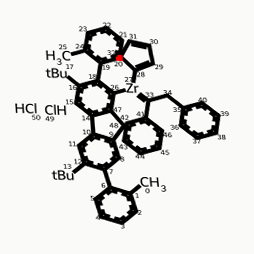 Cc1ccccc1-c1cc2c(cc1C(C)(C)C)-c1cc(C(C)(C)C)c(-c3ccccc3C)[c](/[Zr]([C]3=CC=CC3)=[C](/Cc3ccccc3)c3ccccc3)c1C2.Cl.Cl